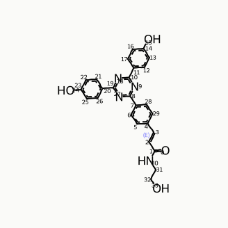 O=C(/C=C/c1ccc(-c2nc(-c3ccc(O)cc3)nc(-c3ccc(O)cc3)n2)cc1)NCCO